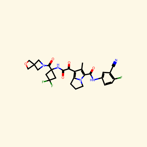 Cc1c(C(=O)C(=O)NC2(C(=O)N3CC4(COC4)C3)CC(F)(F)C2)c2n(c1C(=O)Nc1ccc(F)c(C#N)c1)CCC2